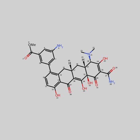 COC(=O)c1cc(N)cc(-c2ccc(O)c3c2C[C@@H]2C[C@@H]4[C@@H](N(C)C)C(O)=C(C(N)=O)C(=O)[C@]4(O)C(O)=C2C3=O)c1